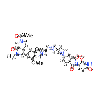 CNC(=O)N1CCc2c(-c3cc(OC)c(CN4CC(CN5CC6(CCN(c7ccc8c(c7)C(=O)N(C7CCC(=O)NC7=O)C8=O)C6)C5)C4)c(OC)c3)cn(C)c(=O)c2C1